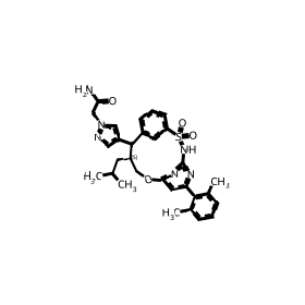 Cc1cccc(C)c1-c1cc2nc(n1)NS(=O)(=O)c1cccc(c1)C(c1cnn(CC(N)=O)c1)[C@H](CC(C)C)CO2